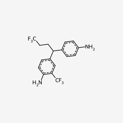 Nc1ccc(C(CCC(F)(F)F)c2ccc(N)c(C(F)(F)F)c2)cc1